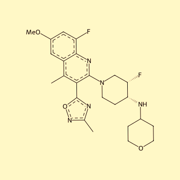 COc1cc(F)c2nc(N3CC[C@@H](NC4CCOCC4)[C@@H](F)C3)c(-c3nc(C)no3)c(C)c2c1